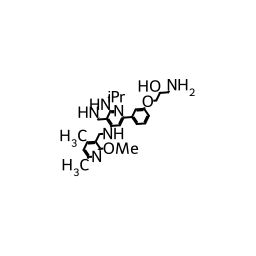 COc1nc(C)cc(C)c1CNc1cc(-c2cccc(OCC(O)CN)c2)nc(NC(C)C)c1C=N